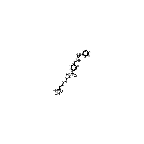 O=C(CCCCCCNC(=O)c1ccc(CNC2CC2c2ccccc2)cc1)NO